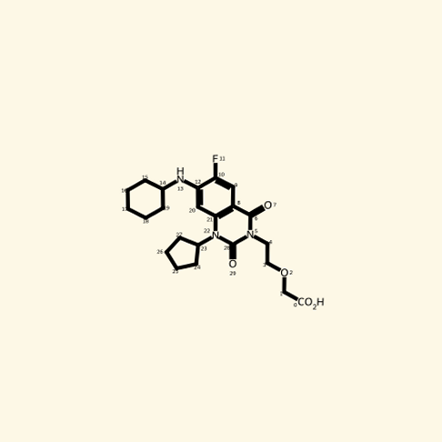 O=C(O)COCCn1c(=O)c2cc(F)c(NC3CCCCC3)cc2n(C2CCCC2)c1=O